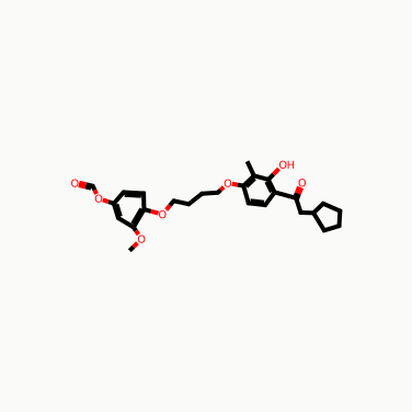 COc1cc(OC=O)ccc1OCCCCOc1ccc(C(=O)CC2CCCC2)c(O)c1C